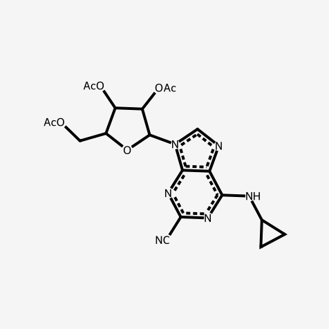 CC(=O)OCC1OC(n2cnc3c(NC4CC4)nc(C#N)nc32)C(OC(C)=O)C1OC(C)=O